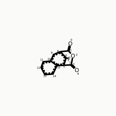 O=C1OC(=O)c2c(F)c1cc1ccccc21